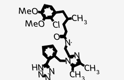 COc1ccc(CC(C)CCC(=O)[N]Cc2nc(C)c(C)n2Cc2ccccc2-c2nnn[nH]2)c(Cl)c1OC